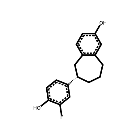 Oc1ccc2c(c1)CCC[C@H](c1ccc(O)c(F)c1)C2